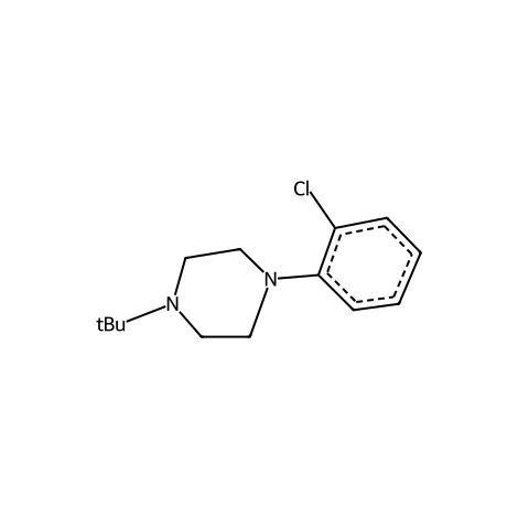 CC(C)(C)N1CCN(c2ccccc2Cl)CC1